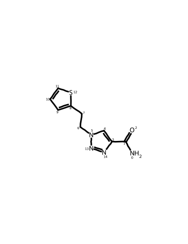 NC(=O)c1cn(CCc2cccs2)nn1